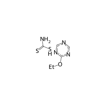 CCOc1ncncn1.NC(=S)S